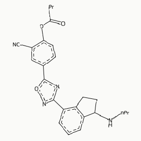 CCCNC1CCc2c(-c3noc(-c4ccc(OC(=O)C(C)C)c(C#N)c4)n3)cccc21